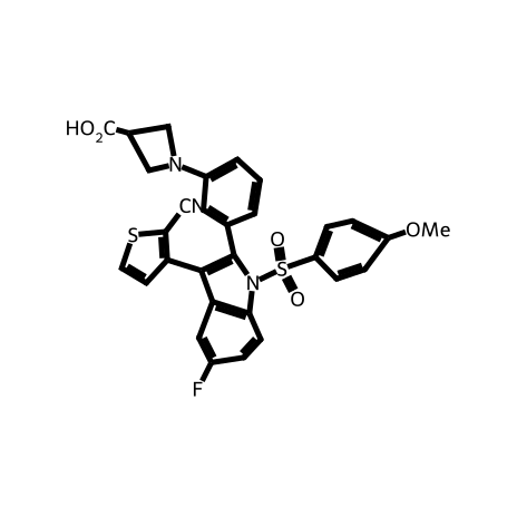 COc1ccc(S(=O)(=O)n2c(-c3cccc(N4CC(C(=O)O)C4)c3)c(-c3ccsc3C#N)c3cc(F)ccc32)cc1